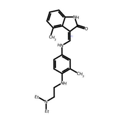 CCN(CC)CCNc1ccc(N/C=C2/C(=O)Nc3cccc(C)c32)cc1C